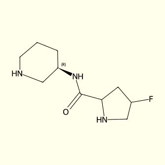 O=C(N[C@@H]1CCCNC1)C1CC(F)CN1